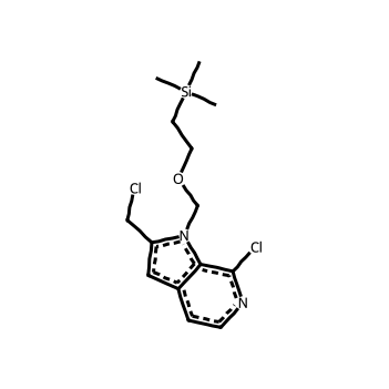 C[Si](C)(C)CCOCn1c(CCl)cc2ccnc(Cl)c21